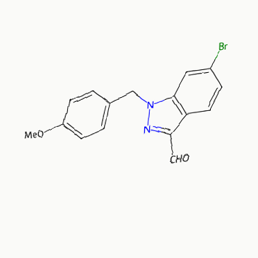 COc1ccc(Cn2nc(C=O)c3ccc(Br)cc32)cc1